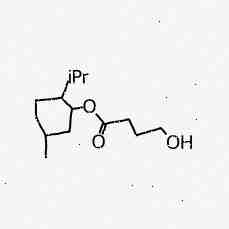 CC1CCC(C(C)C)C(OC(=O)CCCO)C1